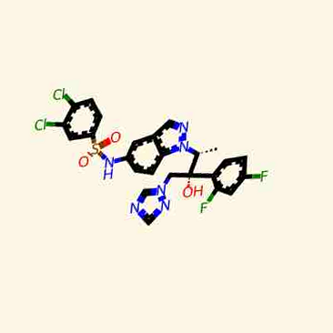 C[C@@H](n1ncc2cc(NS(=O)(=O)c3ccc(Cl)c(Cl)c3)ccc21)[C@](O)(Cn1cncn1)c1ccc(F)cc1F